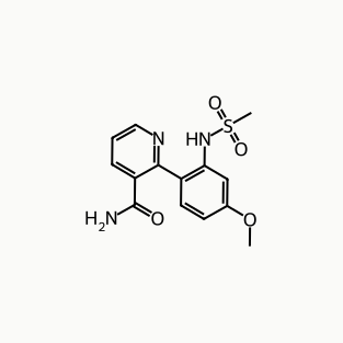 COc1ccc(-c2ncccc2C(N)=O)c(NS(C)(=O)=O)c1